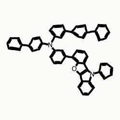 c1ccc(-c2ccc(-c3cccc(N(c4ccc(-c5ccccc5)cc4)c4cccc(-c5cccc6c5oc5c7ccccc7n(-c7ccccc7)c65)c4)c3)cc2)cc1